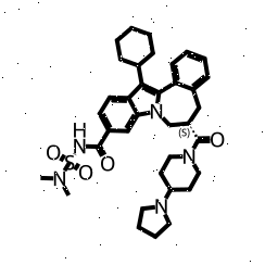 CN(C)S(=O)(=O)NC(=O)c1ccc2c(C3CCCCC3)c3n(c2c1)C[C@@H](C(=O)N1CCC(N2CCCC2)CC1)Cc1ccccc1-3